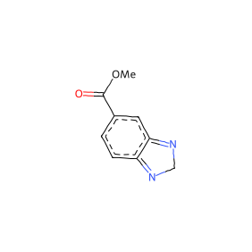 COC(=O)c1ccc2c(c1)=NCN=2